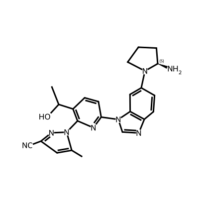 Cc1cc(C#N)nn1-c1nc(-n2cnc3ccc(N4CCC[C@H]4N)cc32)ccc1C(C)O